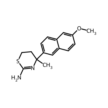 COc1ccc2cc(C3(C)CCSC(N)=N3)ccc2c1